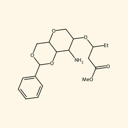 CCC(CC(=O)OC)OC1COC2COC(c3ccccc3)OC2C1N